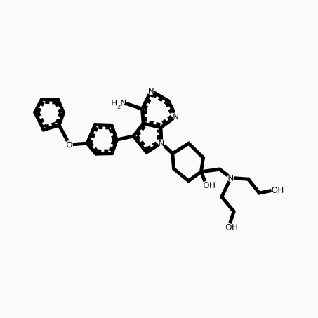 Nc1ncnc2c1c(-c1ccc(Oc3ccccc3)cc1)cn2C1CCC(O)(CN(CCO)CCO)CC1